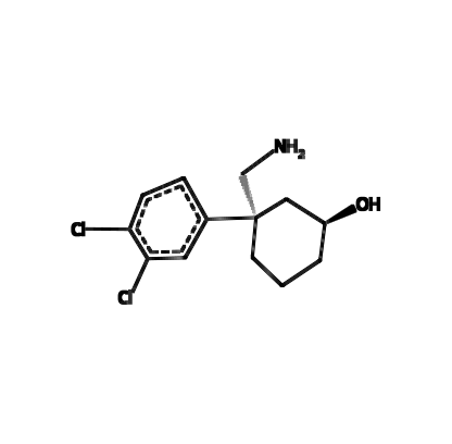 NC[C@@]1(c2ccc(Cl)c(Cl)c2)CCC[C@H](O)C1